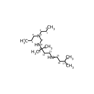 CCCN(CCC)CNC(C)(C)CCNCCC(C)C